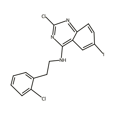 Clc1nc(NCCc2ccccc2Cl)c2cc(I)ccc2n1